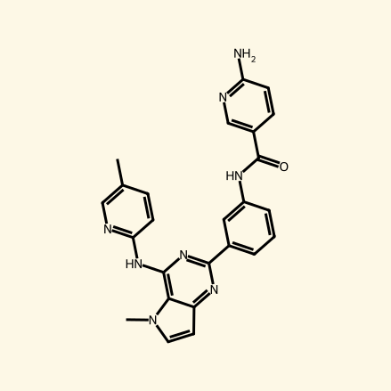 Cc1ccc(Nc2nc(-c3cccc(NC(=O)c4ccc(N)nc4)c3)nc3ccn(C)c23)nc1